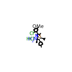 C#CC(N)(c1nc(-c2cc(C)c(OC)cc2Cl)c(C)s1)[C@@H](CC1CC1)c1ccc(C)cc1.Cl